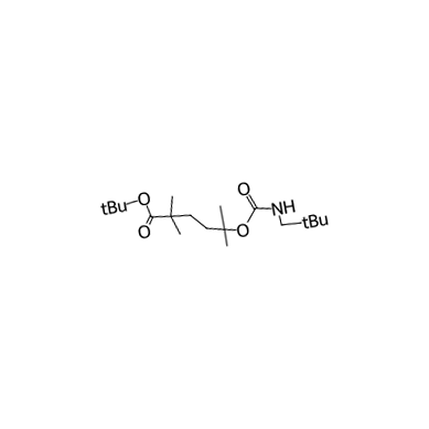 CC(C)(C)CNC(=O)OC(C)(C)CCC(C)(C)C(=O)OC(C)(C)C